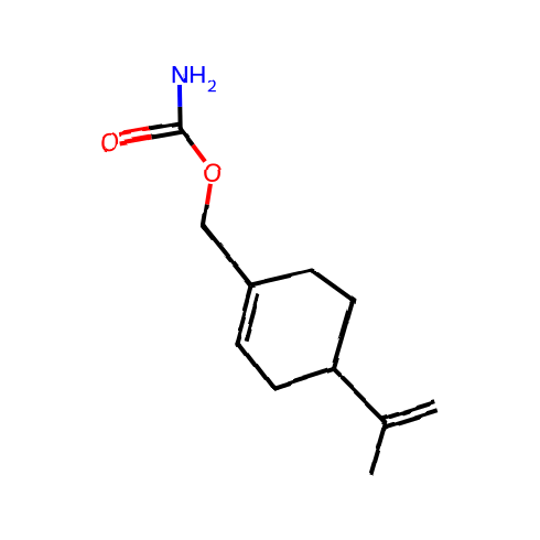 C=C(C)C1CC=C(COC(N)=O)CC1